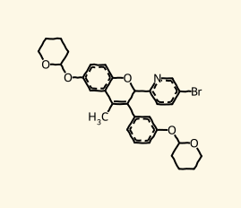 CC1=C(c2cccc(OC3CCCCO3)c2)C(c2ccc(Br)cn2)Oc2ccc(OC3CCCCO3)cc21